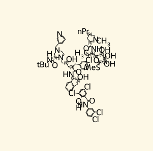 CC(C)(C)NC(=O)[C@@H]1CN(Cc2cccnc2)CCN1C[C@@H](O)C[C@@H](Cc1ccccc1)C(=O)N[C@H]1c2ccccc2C[C@H]1O.CCC[C@@H]1C[C@@H](C(=O)N[C@@H]([C@H]2O[C@H](SC)[C@H](O)[C@@H](O)[C@H]2O)[C@H](C)Cl)N(C)C1.O=C(Nc1ccc(Cl)c(Cl)c1)c1cc(Cl)cc(Cl)c1O